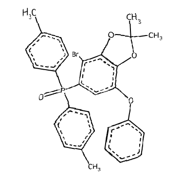 Cc1ccc(P(=O)(c2ccc(C)cc2)c2cc(Oc3ccccc3)c3c(c2Br)OC(C)(C)O3)cc1